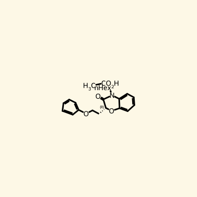 CC(=O)O.CCCCCCN1C(=O)[C@@H](CCOc2ccccc2)Oc2ccccc21